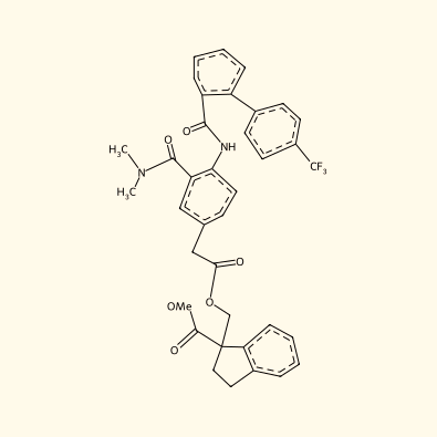 COC(=O)C1(COC(=O)Cc2ccc(NC(=O)c3ccccc3-c3ccc(C(F)(F)F)cc3)c(C(=O)N(C)C)c2)CCc2ccccc21